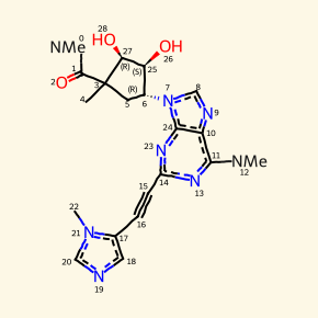 CNC(=O)C1(C)C[C@@H](n2cnc3c(NC)nc(C#Cc4cncn4C)nc32)[C@H](O)[C@@H]1O